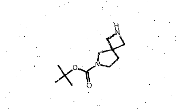 CC(C)(C)OC(=O)N1CCC2(CNC2)C1